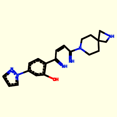 N=C(/C=C\C(=N)N1CCC2(CC1)CNC2)c1ccc(-n2cccn2)cc1O